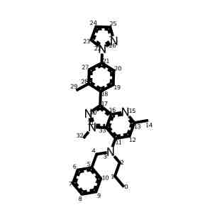 CCCN(Cc1ccccc1)c1cc(C)nc2c(-c3ccc(-n4cccn4)cc3C)nn(C)c12